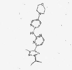 Cc1nc(C(C)C)sc1-c1ccnc(Nc2ccc(N3CCOCC3)cn2)n1